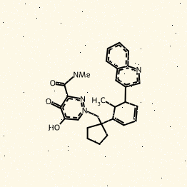 CNC(=O)c1nn(CC2(C3=CC=CC(c4cnc5ccccc5c4)C3C)CCCC2)cc(O)c1=O